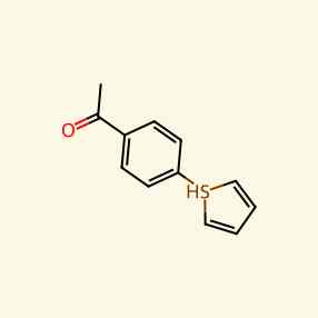 CC(=O)c1ccc([SH]2C=CC=C2)cc1